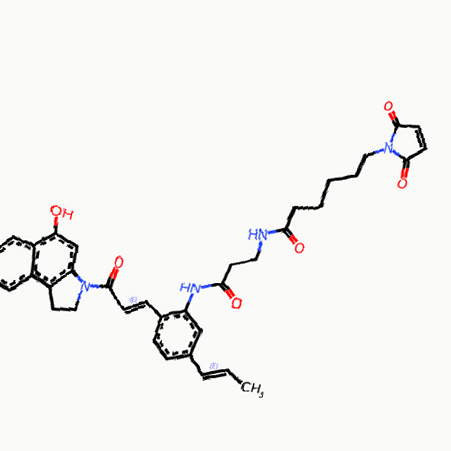 C/C=C/c1ccc(/C=C/C(=O)N2CCc3c2cc(O)c2ccccc32)c(NC(=O)CCNC(=O)CCCCCN2C(=O)C=CC2=O)c1